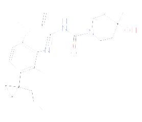 C=C/C(=N\c1c(OC)ccc(C2(CCC)CC2)c1C)NC(=O)N1CCC(C)(O)CC1